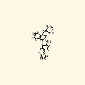 Cc1nccn1-c1ccc(Nc2nc3c(c(CC4CCOCC4)n2)CNCC3)cc1